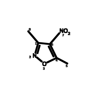 Cc1noc(C)c1[N+](=O)[O-]